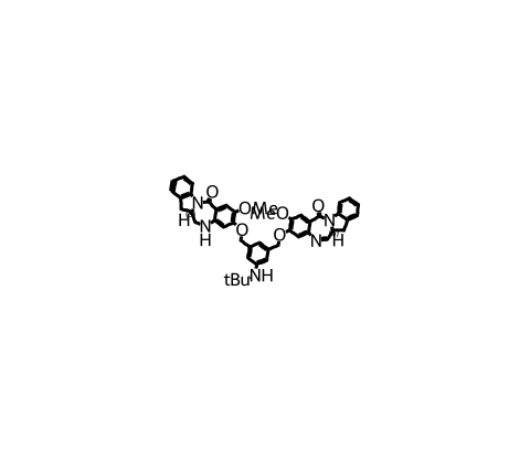 COc1cc2c(cc1OCc1cc(COc3cc4c(cc3OC)C(=O)N3c5ccc#cc5C[C@H]3CN4)cc(NC(C)(C)C)c1)N=C[C@@H]1Cc3ccccc3N1C2=O